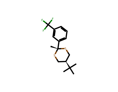 CC(C)(C)[C@H]1CS[C@](C)(c2cccc(C(F)(F)F)c2)SC1